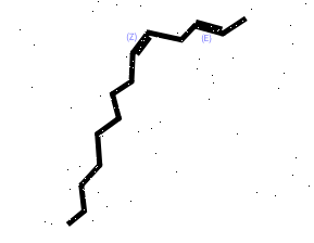 C/C=C/C/C=C\CCCCCCCC